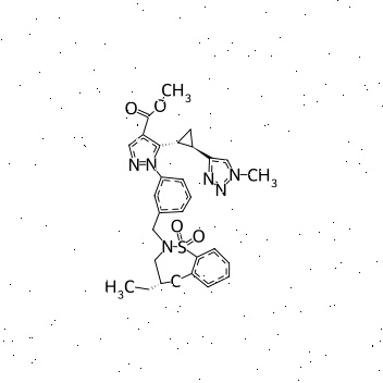 CC[C@H]1Cc2ccccc2S(=O)(=O)N(Cc2cccc(-n3ncc(C(=O)OC)c3[C@@H]3C[C@H]3c3cn(C)nn3)c2)C1